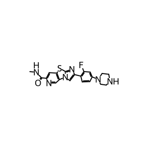 CNC(=O)c1cc2sc3nc(-c4ccc(N5CCNCC5)cc4F)cn3c2cn1